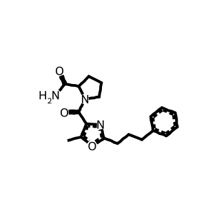 Cc1oc(CCCc2ccccc2)nc1C(=O)N1CCCC1C(N)=O